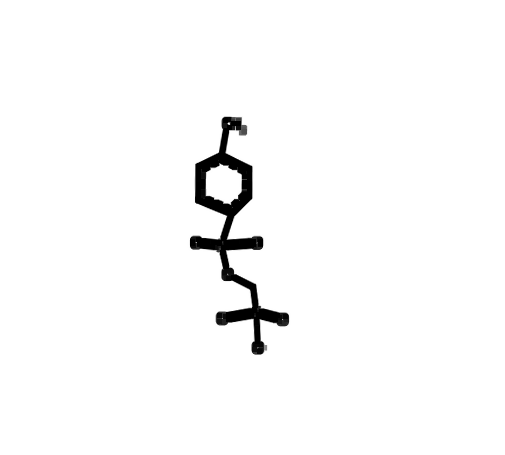 Cc1ccc(S(=O)(=O)OCS([O])(=O)=O)cc1